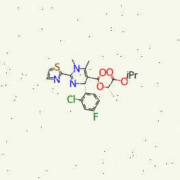 CC1=C(C(=O)O[C@@H](C)C(=O)OC(C)C)[C@H](c2ccc(F)cc2Cl)N=C(c2nccs2)N1C